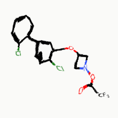 O=C(ON1CC(Oc2cc(-c3ccccc3Cl)ccc2Cl)C1)C(F)(F)F